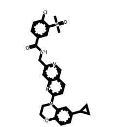 CP(C)(=O)c1cc(C(=O)NCc2cc3nc(N4CCOc5ccc(C6CC6)cc54)ccc3cn2)ccc1Cl